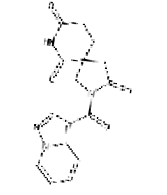 O=C1CCC2(CC(=O)N(C(=O)c3cnn4ccccc34)C2)C(=O)N1